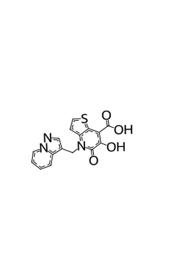 O=C(O)c1c(O)c(=O)n(Cc2cnn3ccccc23)c2ccsc12